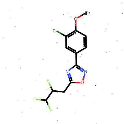 CC(C)Oc1ccc(-c2noc(CC(F)C(F)F)n2)cc1Cl